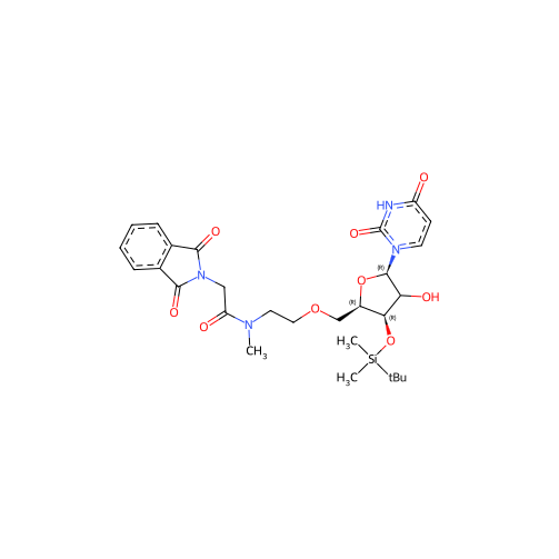 CN(CCOC[C@H]1O[C@@H](n2ccc(=O)[nH]c2=O)C(O)[C@H]1O[Si](C)(C)C(C)(C)C)C(=O)CN1C(=O)c2ccccc2C1=O